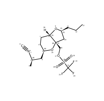 [C-]#[N+][C@H](C)C[C@H]1CC[C@@H]2O[C@@H](CCC)C[C@]2(COS(=O)(=O)C(F)(F)F)O1